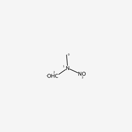 CN([C]=O)N=O